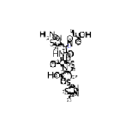 C=C(O/N=C(/C(=O)N[C@@H]1C(=O)N2C(C(=O)O)=C(CSc3nnc(C)s3)CS[C@H]12)c1csc(N)n1)C(=O)O